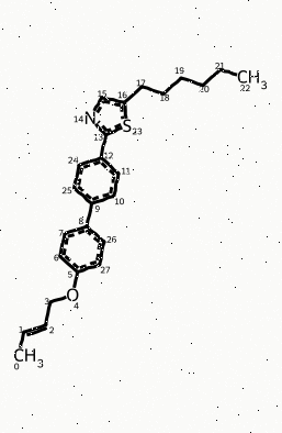 C/C=C/COc1ccc(-c2ccc(-c3ncc(CCCCCC)s3)cc2)cc1